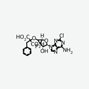 Nc1nc(Cl)nc2c1ncn2[C@@H]1O[C@@H]2C(OC(Cc3ccccc3)(C(=O)O)C(=O)O)[C@]2(F)[C@H]1O